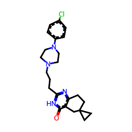 O=c1[nH]c(CCCN2CCN(c3ccc(Cl)cc3)CC2)nc2c1CC1(CC2)CC1